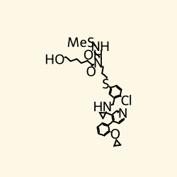 CSNCCN(CCCSc1ccc(Cl)c(CNC2(c3cnccc3-c3ccccc3OC3CC3)CC2)c1)C(=O)C(O)CCCCO